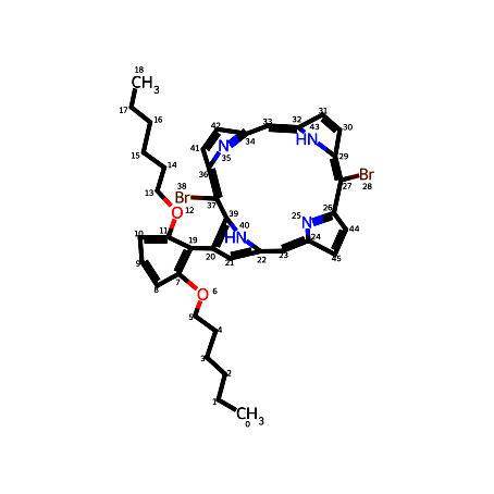 CCCCCCOc1cccc(OCCCCCC)c1-c1cc2cc3nc(c(Br)c4ccc(cc5nc(c(Br)c1[nH]2)C=C5)[nH]4)C=C3